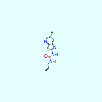 C=CCNC(=O)Nc1nc2cc(Br)cnc2s1